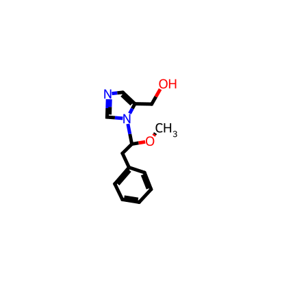 COC(Cc1ccccc1)n1cncc1CO